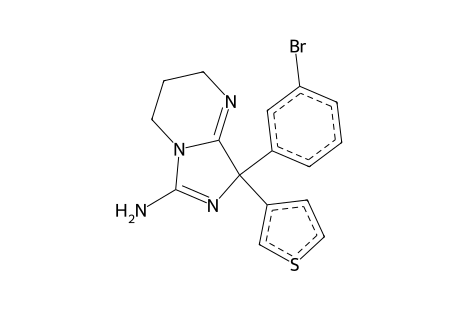 NC1=NC(c2ccsc2)(c2cccc(Br)c2)C2=NCCCN12